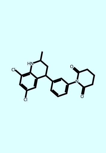 CC1CC(c2cccc(N3C(=O)CCCC3=O)c2)c2cc(Cl)cc(Cl)c2N1